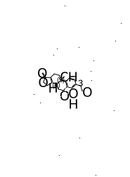 C[C@]12CCC3=C(COC3=O)[C@@H]1CC(=O)c1c2ccc(CC=O)c1O